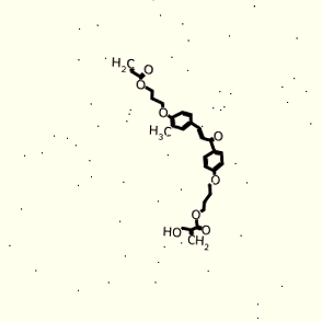 C=CC(=O)OCCCOc1ccc(/C=C/C(=O)c2ccc(OCCCCOC(=O)C(=C)CO)cc2)cc1C